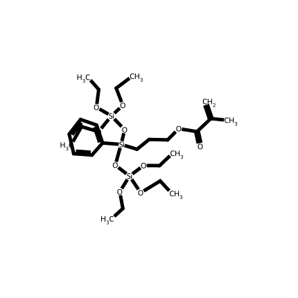 C=C(C)C(=O)OCCC[Si](O[Si](OCC)(OCC)OCC)(O[Si](OCC)(OCC)OCC)c1ccccc1